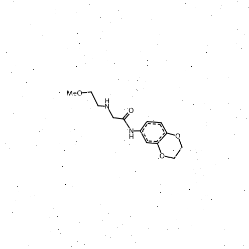 COCCNCC(=O)Nc1ccc2c(c1)OCCO2